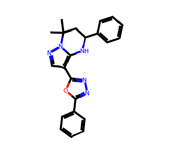 CC1(C)CC(c2ccccc2)Nc2c(-c3nnc(-c4ccccc4)o3)cnn21